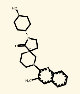 Cc1cc2ccccc2nc1N1CCC[C@@]2(CCN([C@H]3CC[C@H](O)CC3)C2=O)C1